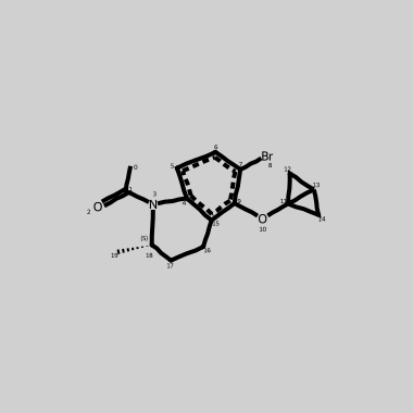 CC(=O)N1c2ccc(Br)c(OC34CC3C4)c2CC[C@@H]1C